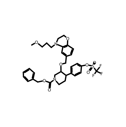 COCCCN1CCOc2ccc(COC3CN(C(=O)OCc4ccccc4)CCC3c3ccc(OS(=O)(=O)C(F)(F)F)cc3)cc21